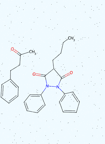 CC(=O)CCc1ccccc1.CCCCC1C(=O)N(c2ccccc2)N(c2ccccc2)C1=O